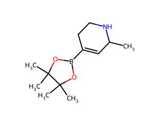 CC1C=C(B2OC(C)(C)C(C)(C)O2)CCN1